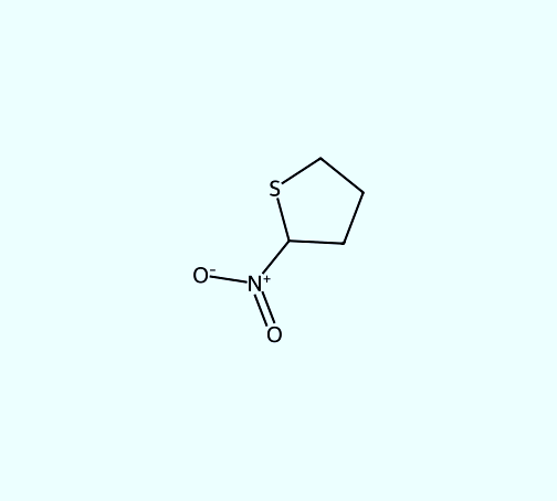 O=[N+]([O-])C1CCCS1